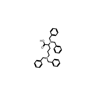 O=C(O)C(CCCN(Cc1ccccc1)Cc1ccccc1)N(Cc1ccccc1)Cc1ccccc1